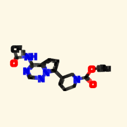 CC(C)(C)OC(=O)N1CCC=C(c2ccc3c(NC(=O)C(F)(F)F)ncnn23)C1